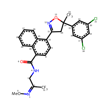 CO/N=C(\CNC(=O)c1ccc(C2=NOC(c3cc(Cl)cc(Cl)c3)(C(F)(F)F)C2)c2ccccc12)C(F)(F)F